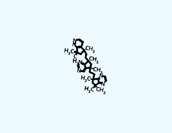 CC1(C)C[C@](C)(CC[C@@]2(C)C[C@](C)(CC[C@@]3(C)CC(C)(C)c4nccnc43)c3cncnc32)c2ccnnc21